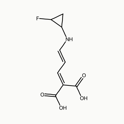 O=C(O)C(=C/C=C/NC1CC1F)C(=O)O